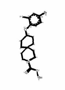 CC(C)(C)OC(=O)N1CCC2(CCC(Oc3ccc(Br)cc3I)CC2)CC1